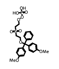 COc1ccc(C(OCCS(=O)(=O)CCOOP(=O)(O)O)(c2ccccc2)c2ccc(OC)cc2)cc1